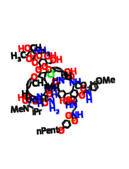 CCCCCOc1ccc(S(=O)(=O)NCCNCc2c(OC(=O)Nc3ccc(OC)cc3)cc3c(c2O)-c2cc(ccc2O)[C@H]2NC(=O)[C@@H]4NC(=O)[C@H](CC(N)=O)NC(=O)[C@H](NC(=O)[C@@H](CC(C)C)NC)[C@H](O)c5ccc(c(C)c5)Oc5cc4cc(c5O[C@@H]4O[C@H](CO)[C@@H](O)[C@H](O)[C@H]4O[C@H]4C[C@](C)(N)[C@H](O)[C@H](C)O4)Oc4ccc(cc4Cl)[C@@H](O)[C@H](NC2=O)C(=O)N[C@@H]3C(=O)O)cc1